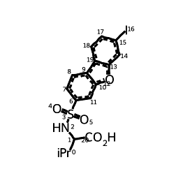 CC(C)C(NS(=O)(=O)c1ccc2c(c1)oc1cc(I)ccc12)C(=O)O